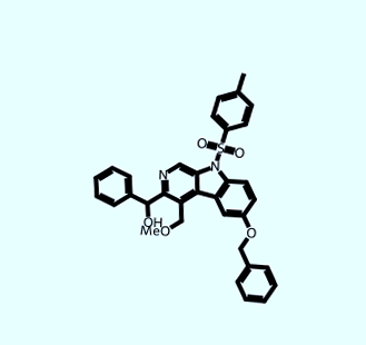 COCc1c(C(O)c2ccccc2)ncc2c1c1cc(OCc3ccccc3)ccc1n2S(=O)(=O)c1ccc(C)cc1